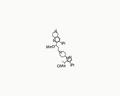 COC(C)c1c(C(C)C)cnn1C1CCN(CCC(OC)c2nc3c(cc2C(C)C)CN(C)CC3)CC1